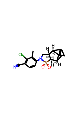 Cc1c(N2C[C@H]3[C@H]([C@H]4C=C[C@@H]3C43CC3)S2(=O)=O)ccc(C#N)c1Cl